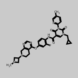 Cc1ccc(-n2c(=O)c(C(=O)Nc3ccc(Oc4ncnc5c4CCN(C4CN(C)C4)C5)cc3F)cn(CC3CC3)c2=O)nc1